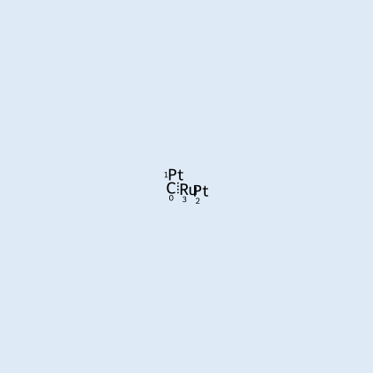 [C].[Pt].[Pt].[Ru]